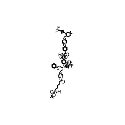 CC1(C)CCC(CN2CCN(c3ccc(C(=O)NS(=O)(=O)c4ccc(N[C@H](CCN5CCN(C(=O)CCCCCNC(=O)OC(C)(C)C)CC5)CSc5ccccc5)c(S(=O)(=O)C(F)(F)F)c4)cc3)CC2)=C(C23CC(C(F)F)(C2)C3)C1